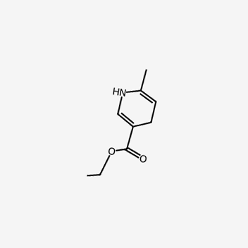 CCOC(=O)C1=CNC(C)=CC1